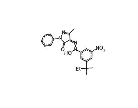 CCC(C)(C)c1cc(N(O)N=C2C(=O)N(c3ccccc3)N=C2C)cc([N+](=O)[O-])c1